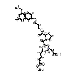 CC(=O)Cc1cc(=O)oc2cc(OCCCOC(=O)C3CCCN3C(=O)[C@H](CCCCNC(=O)OC(C)(C)C)/N=[PH](\P)OC=N)ccc12